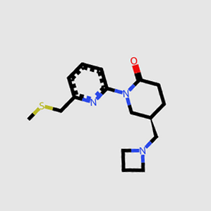 CSCc1cccc(N2C[C@H](CN3CCC3)CCC2=O)n1